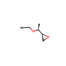 CCCCO[C@@H](C)[C@@H]1CO1